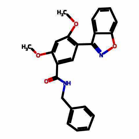 COc1cc(OC)c(-c2noc3ccccc23)cc1C(=O)NCc1ccccc1